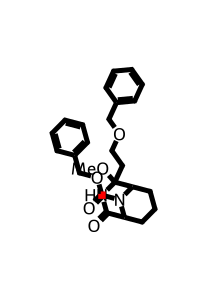 COC1(CCOCc2ccccc2)NC(=O)C2CCCC1N2C(=O)OCc1ccccc1